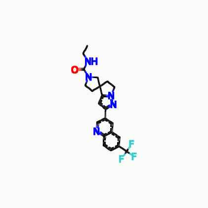 CCNC(=O)N1CCC2(CCn3nc(-c4cnc5ccc(C(F)(F)F)cc5c4)cc32)C1